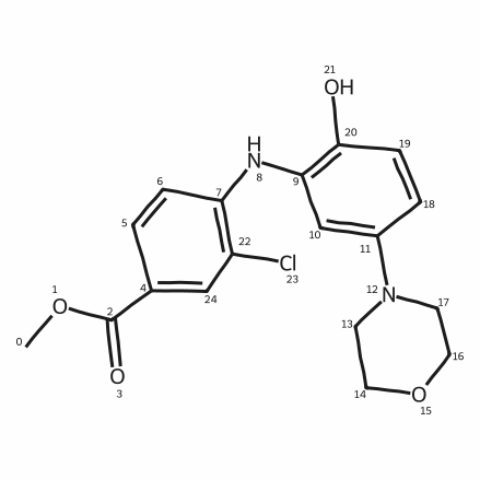 COC(=O)c1ccc(Nc2cc(N3CCOCC3)ccc2O)c(Cl)c1